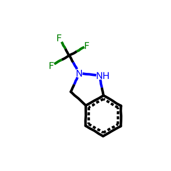 FC(F)(F)N1Cc2ccccc2N1